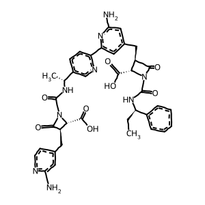 CC[C@@H](NC(=O)N1C(=O)[C@H](Cc2cc(N)nc(-c3ccc([C@@H](C)NC(=O)N4C(=O)[C@H](Cc5ccnc(N)c5)[C@H]4C(=O)O)cn3)c2)[C@H]1C(=O)O)c1ccccc1